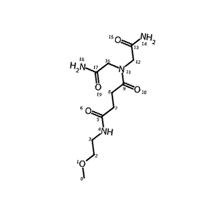 COCCNC(=O)CCC(=O)N(CC(N)=O)CC(N)=O